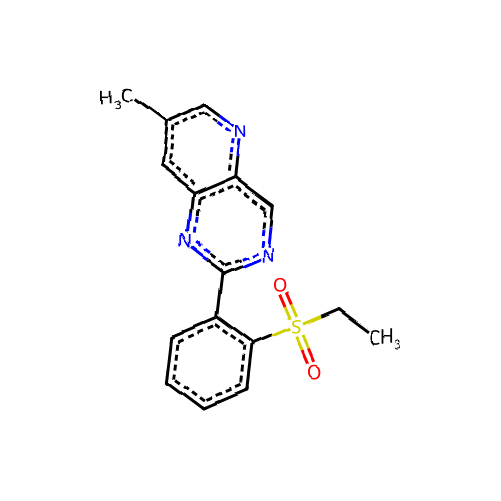 CCS(=O)(=O)c1ccccc1-c1ncc2ncc(C)cc2n1